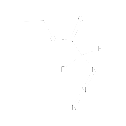 CCOC(=O)C(F)(F)N=[N+]=[N-]